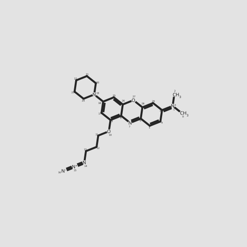 C[N+](C)=c1ccc2nc3c(OCCCN=[N+]=[N-])cc(N4CCCCC4)cc3oc-2c1